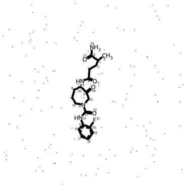 CC(C[CH]C(=O)N[C@H]1CCCN(C(=O)Nc2ccccc2F)CC1=O)C(N)=O